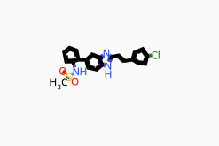 CS(=O)(=O)Nc1ccccc1-c1ccc2[nH]c(/C=C/c3ccc(Cl)cc3)nc2c1